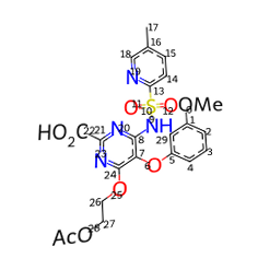 COc1cccc(Oc2c(NS(=O)(=O)c3ccc(C)cn3)nc(C(=O)O)nc2OCCOC(C)=O)c1